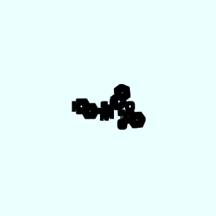 O=C1c2ccccc2C(=O)N1C[C@H]1Cc2ccccc2CN1c1nnc(-c2ccc3cnccc3c2)s1